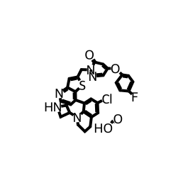 O=CO.O=c1cc(Oc2ccc(F)cc2)cnn1Cc1cc2nccc(-c3cc(Cl)cc4c3N(C3CNC3)CCC4)c2s1